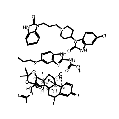 CC(=O)OCC(=O)[C@@]12OC(C)(C)O[C@@H]1C[C@H]1[C@@H]3C[C@H](F)C4=CC(=O)C=C[C@]4(C)[C@@]3(F)[C@@H](O)C[C@@]12C.CCCSc1ccc2[nH]c(NC(=O)OC)nc2c1.O=c1[nH]c2ccccc2n1CCCN1CCC(n2c(=O)[nH]c3cc(Cl)ccc32)CC1